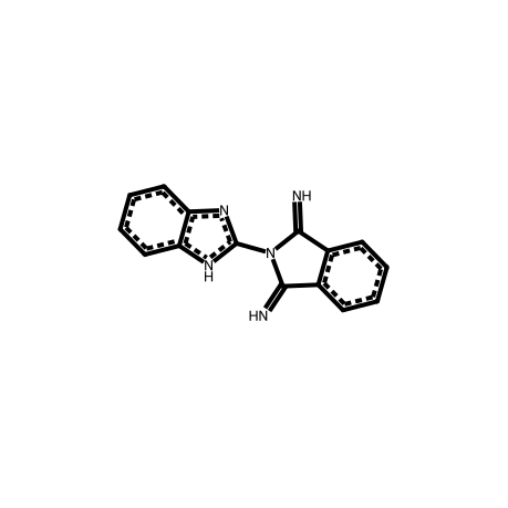 N=C1c2ccccc2C(=N)N1c1nc2ccccc2[nH]1